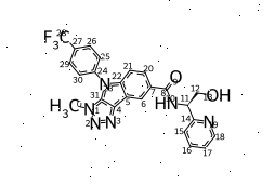 Cn1nnc2c3cc(C(=O)N[C@@H](CO)c4ccccn4)ccc3n(-c3ccc(C(F)(F)F)cc3)c21